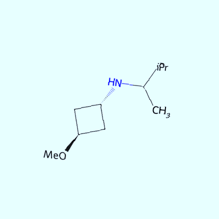 CO[C@H]1C[C@H](NC(C)C(C)C)C1